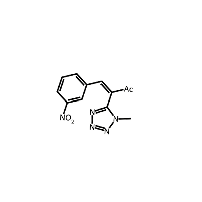 CC(=O)C(=Cc1cccc([N+](=O)[O-])c1)c1nnnn1C